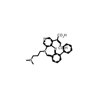 CN(C)CCCN1C=c2cccc(-c3ccccc3)c2=Nc2c(C(=CC(=O)O)C(=O)O)cncc21